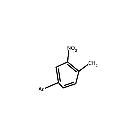 [CH2]c1ccc(C(C)=O)cc1[N+](=O)[O-]